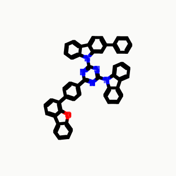 c1ccc(-c2ccc3c4ccccc4n(-c4nc(-c5ccc(-c6cccc7c6oc6ccccc67)cc5)nc(-n5c6ccccc6c6ccccc65)n4)c3c2)cc1